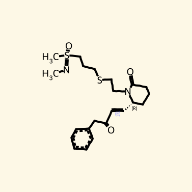 CN=S(C)(=O)CCCSCCN1C(=O)CCC[C@@H]1/C=C/C(=O)Cc1ccccc1